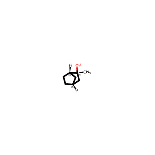 C[C@@]1(O)C[C@@H]2CC[C@H]1C2